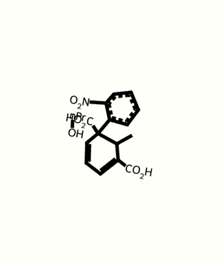 CC1C(C(=O)O)=CC=CC1(C(=O)O)c1ccccc1[N+](=O)[O-].CCCO